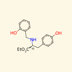 CCOC(=O)[C@H](Cc1ccc(O)cc1)NCc1ccccc1O